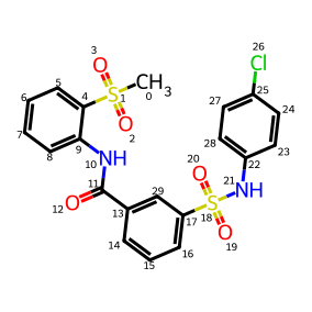 CS(=O)(=O)c1ccccc1NC(=O)c1cccc(S(=O)(=O)Nc2ccc(Cl)cc2)c1